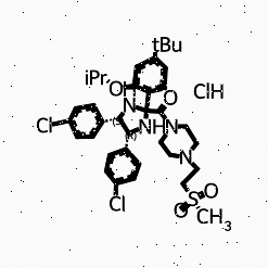 CC(C)Oc1cc(C(C)(C)C)ccc1C1(C(=O)N2CCN(CCS(C)(=O)=O)CC2)N[C@H](c2ccc(Cl)cc2)[C@H](c2ccc(Cl)cc2)N1.Cl